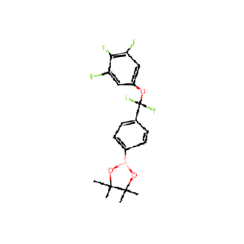 CC1(C)OB(c2ccc(C(F)(F)Oc3cc(F)c(F)c(F)c3)cc2)OC1(C)C